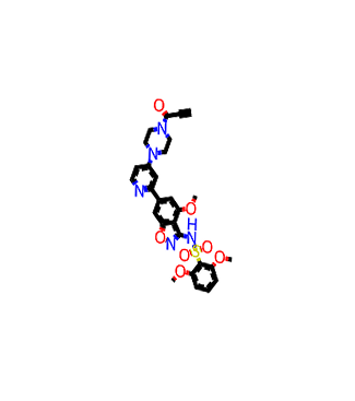 C#CC(=O)N1CCN(c2ccnc(-c3cc(OC)c4c(NS(=O)(=O)c5c(OC)cccc5OC)noc4c3)c2)CC1